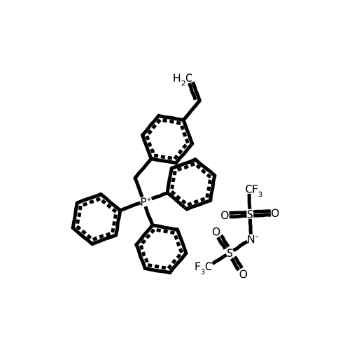 C=Cc1ccc(C[P+](c2ccccc2)(c2ccccc2)c2ccccc2)cc1.O=S(=O)([N-]S(=O)(=O)C(F)(F)F)C(F)(F)F